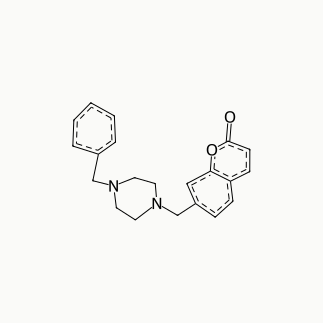 O=c1ccc2ccc(CN3CCN(Cc4ccccc4)CC3)cc2o1